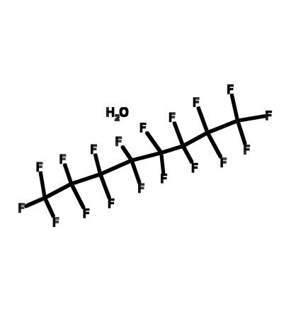 FC(F)(F)C(F)(F)C(F)(F)C(F)(F)C(F)(F)C(F)(F)C(F)(F)C(F)(F)F.O